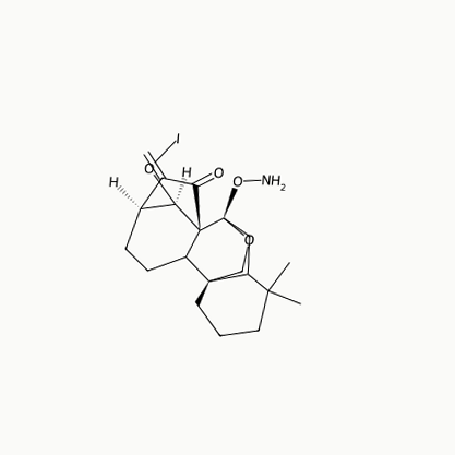 C=C1C(=O)[C@@]23C(CC[C@@H]1[C@H]2OI)[C@]12CCCC(C)(C)C1C[C@]3(ON)OC2